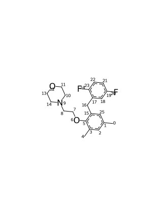 Cc1cc(C)c(OCCN2CCOCC2)c(Cc2cc(F)ccc2F)c1